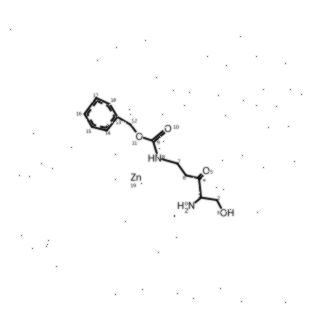 NC(CO)C(=O)CCNC(=O)OCc1ccccc1.[Zn]